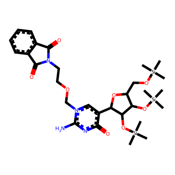 C[Si](C)(C)OCC1OC(c2cn(COCCN3C(=O)c4ccccc4C3=O)c(N)nc2=O)C(O[Si](C)(C)C)C1O[Si](C)(C)C